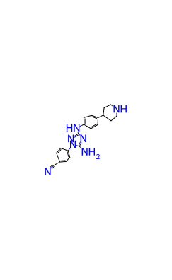 N#Cc1ccc(-n2nc(Nc3ccc(C4CCNCC4)cc3)nc2N)cc1